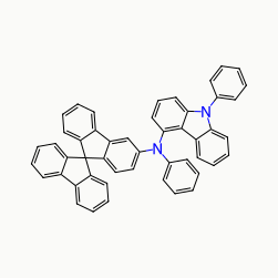 c1ccc(N(c2ccc3c(c2)-c2ccccc2C32c3ccccc3-c3ccccc32)c2cccc3c2c2ccccc2n3-c2ccccc2)cc1